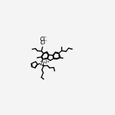 CCCC[C](CCCC)=[Zr+2]([C]1=CC=CC1)[c]1c(C)c(C(C)CCC)cc2c1Cc1cc(C)c(C(C)CCC)cc1-2.[Cl-].[Cl-]